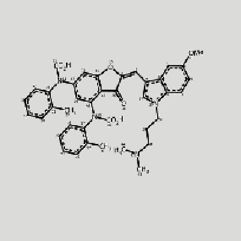 COc1ccc2c(c1)c(C=C1Oc3cc(N(C(=O)O)c4ccccc4C)cc(N(C(=O)O)c4ccccc4C)c3C1=O)cn2CCCN(C)C